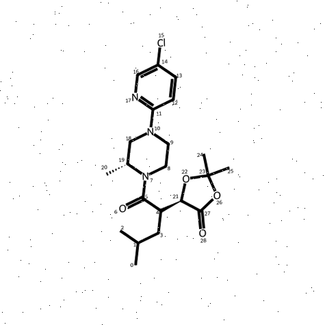 CC(C)CC(C(=O)N1CCN(c2ccc(Cl)cn2)C[C@H]1C)[C@H]1OC(C)(C)OC1=O